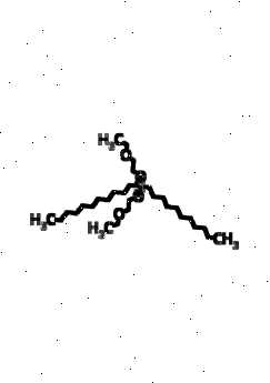 CCCCCCCCCCC[Si](CCCCCCCCCCC)(OCCOCC)OCCOCC